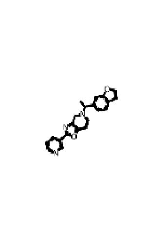 CC(c1ccc2c(c1)OCC2)N1CCc2oc(-c3cccnc3)nc2C1